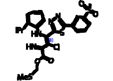 CSCOC(=O)C(=N)/C(Cl)=C(\Nc1ccccc1C(C)C)c1nnc(-c2cccc(S(C)(=O)=O)c2)s1